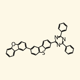 c1ccc(-c2nc(-c3ccccc3)nc(-c3ccc4c(c3)sc3ccc(-c5ccc6oc7ccccc7c6c5)cc34)n2)cc1